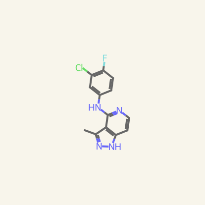 Cc1n[nH]c2ccnc(Nc3ccc(F)c(Cl)c3)c12